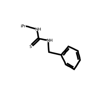 CC(C)NC(=S)NCc1ccccc1